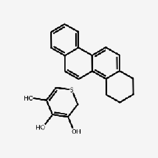 OC1=CSCC(O)=C1O.c1ccc2c(c1)ccc1c3c(ccc12)CCCC3